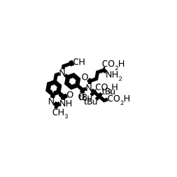 C#CCN(Cc1ccc2nc(C)[nH]c(=O)c2c1)c1ccc(C(=O)N(C(=O)CC[C@H](N)C(=O)O)[C@](C(=O)O)(C(C)(C)C)C(CC(=O)O)(C(C)(C)C)C(C)(C)C)cc1